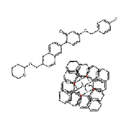 O=c1cc(OCc2ccc(F)cc2)ccn1-c1ccc2cc(COC3CCCCO3)cnc2c1.c1ccc([PH](c2ccccc2)(c2ccccc2)[Pd]([PH](c2ccccc2)(c2ccccc2)c2ccccc2)([PH](c2ccccc2)(c2ccccc2)c2ccccc2)[PH](c2ccccc2)(c2ccccc2)c2ccccc2)cc1